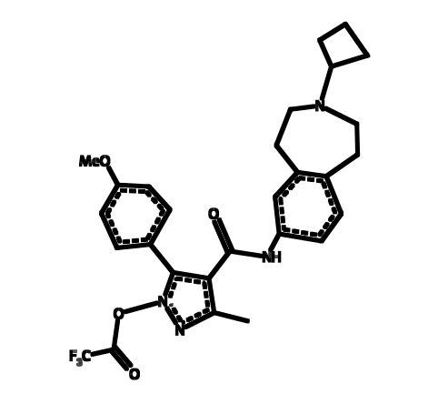 COc1ccc(-c2c(C(=O)Nc3ccc4c(c3)CCN(C3CCC3)CC4)c(C)nn2OC(=O)C(F)(F)F)cc1